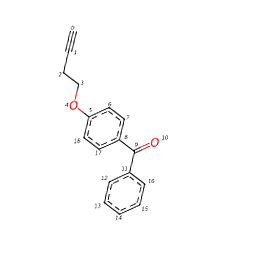 C#CCCOc1ccc(C(=O)c2ccccc2)cc1